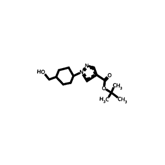 CC(C)(C)OC(=O)c1cnn(C2CCC(CO)CC2)c1